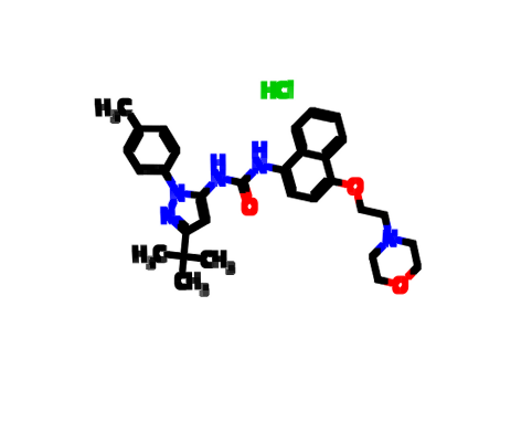 Cc1ccc(-n2nc(C(C)(C)C)cc2NC(=O)Nc2ccc(OCCN3CCOCC3)c3ccccc23)cc1.Cl